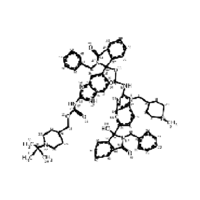 CN1CCC(Cn2c(NC(=O)OC3(c4ccc5[nH]c(NC(=O)OCC6CCN(C(C)(C)C)CC6)nc5c4)c4ccccc4C(=O)N3Cc3ccccc3)nc3cc(C4(O)c5ccccc5C(=O)N4Cc4ccccc4)ccc32)CC1